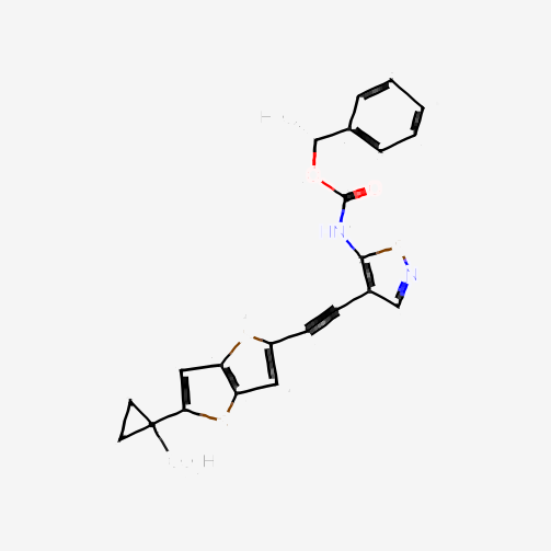 C[C@@H](OC(=O)Nc1sncc1C#Cc1cc2sc(C3(C(=O)O)CC3)cc2s1)c1ccccc1